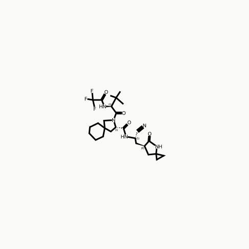 CC(C)(C)[C@H](NC(=O)C(F)(F)F)C(=O)N1CC2(CCCCC2)C[C@H]1C(=O)N[C@H](C#N)C[C@@H]1CC2(CC2)NC1=O